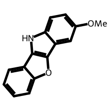 COc1ccc2[nH]c3c4ccccc4oc3c2c1